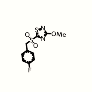 COc1nsc(S(=O)(=O)Cc2ccc(F)cc2)n1